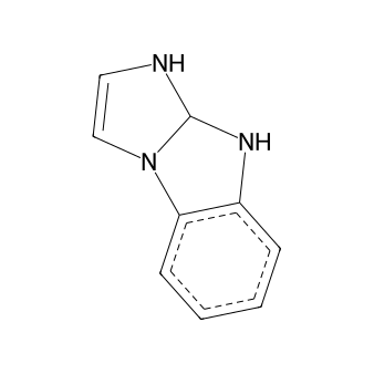 C1=CN2c3ccccc3NC2N1